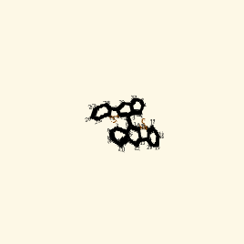 c1ccc2c(-c3c4ccccc4cc4c3sc3ccccc34)c3sc4ccccc4c3cc2c1